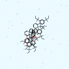 CCC(C)(C)c1ccc(C2=CC=CC(OP(OC3C=CC=C(c4ccc(C(C)(C)CC)cc4C(C)(C)CC)C3(c3ccc(C(C)(C)CC)cc3C(C)(C)CC)C(C)(C)CC)OC3C=CC=C(c4ccc(C(C)(C)CC)cc4C(C)(C)CC)C3(c3ccc(C(C)(C)CC)cc3C(C)(C)CC)C(C)(C)CC)C2(c2ccc(C(C)(C)CC)cc2C(C)(C)CC)C(C)(C)CC)c(C(C)(C)CC)c1